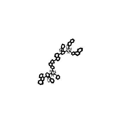 c1ccc(-c2nc(-c3ccc4c(ccc5ccc(-c6cccc7c(-c8ccc(C9N=C(c%10ccc%11ccc%12ccccc%12c%11c%10)N=C(c%10ccc%11ccccc%11c%10)N9)c9c8oc8ccccc89)cccc67)cc54)c3)nc(-c3ccc(-c4cc5ccccc5c5ccccc45)c4oc5ccccc5c34)n2)cc1